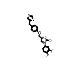 O=C1OC(COc2ccc(Cc3cscn3)cc2)CN1c1ccc(F)c(F)c1